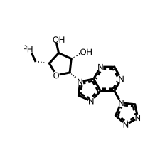 [2H]C[C@H]1O[C@@H](n2cnc3c(-n4cnnc4)ncnc32)[C@@H](O)C1O